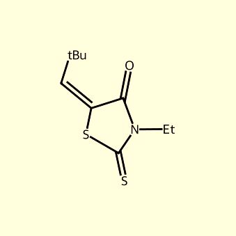 CCN1C(=O)/C(=C\C(C)(C)C)SC1=S